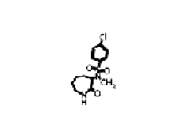 CN(C1CCCCNC1=O)S(=O)(=O)c1ccc(Cl)cc1